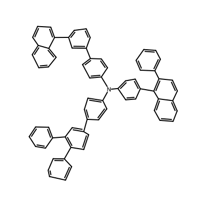 c1ccc(-c2ccc(-c3ccc(N(c4ccc(-c5cccc(-c6cccc7ccccc67)c5)cc4)c4ccc(-c5c(-c6ccccc6)ccc6ccccc56)cc4)cc3)cc2-c2ccccc2)cc1